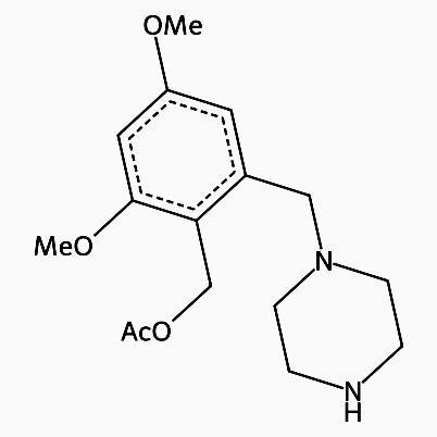 COc1cc(CN2CCNCC2)c(COC(C)=O)c(OC)c1